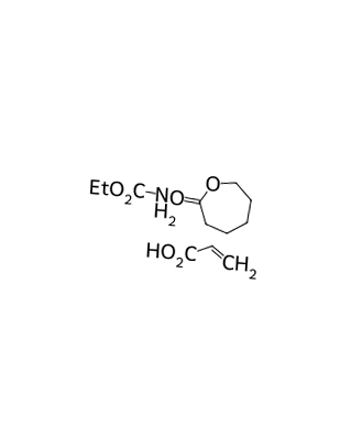 C=CC(=O)O.CCOC(N)=O.O=C1CCCCCO1